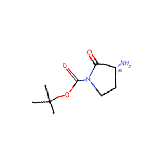 CC(C)(C)OC(=O)N1CC[C@@H](N)C1=O